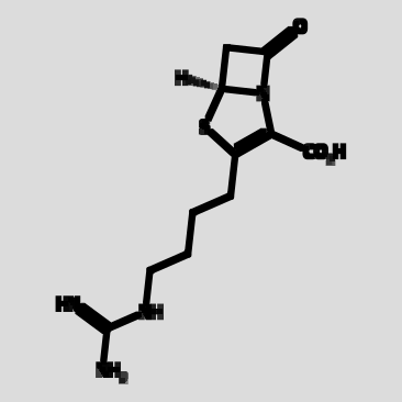 N=C(N)NCCCCC1=C(C(=O)O)N2C(=O)C[C@@H]2S1